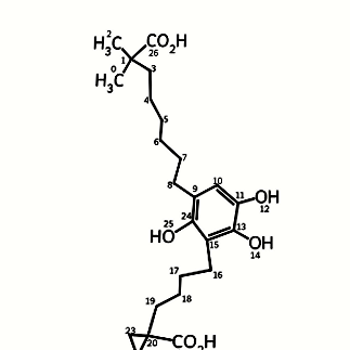 CC(C)(CCCCCCc1cc(O)c(O)c(CCCCC2(C(=O)O)CC2)c1O)C(=O)O